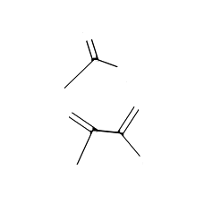 C=C(Cl)C(=O)O.CC(=O)O